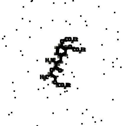 CCOC(=O)OC[C@H](C)OC(=O)[C@@H](N)Cc1ccc(OC(=O)OCC)c(OC(=O)OCC)c1